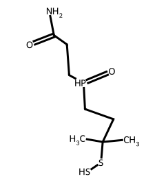 CC(C)(CC[PH](=O)CCC(N)=O)SS